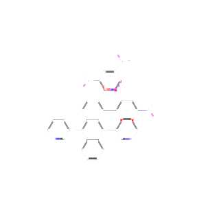 O=[N+]([O-])c1ccc(-c2ccc3c(-c4cccnc4)c4ccccc4c(-c4cccnc4)c3c2-c2ccc([N+](=O)[O-])cc2[N+](=O)[O-])c([N+](=O)[O-])c1